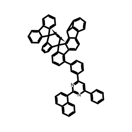 c1ccc(-c2cc(-c3cccc(-c4cccc5c4-c4ccc6c(c4C54c5ccccc5C5(c7ccccc7-c7ccccc75)c5ccccc54)C4c5cccc-6c54)c3)nc(-c3cccc4ccccc34)n2)cc1